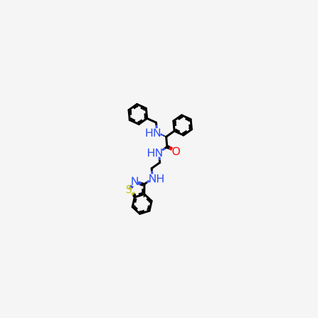 O=C(NCCNc1nsc2ccccc12)[C@@H](NCc1ccccc1)c1ccccc1